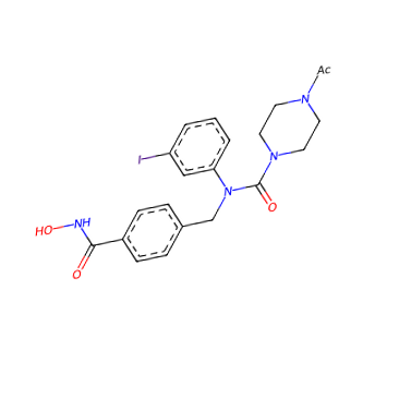 CC(=O)N1CCN(C(=O)N(Cc2ccc(C(=O)NO)cc2)c2cccc(I)c2)CC1